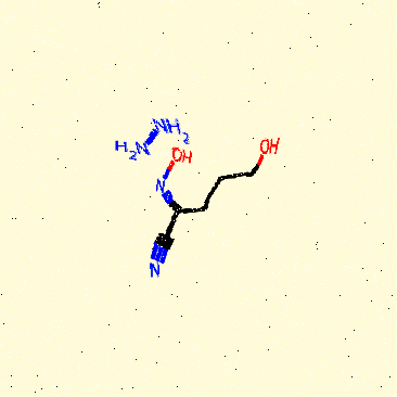 N#CC(CCCO)=NO.NN